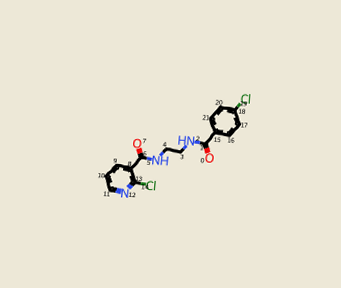 O=C(NCCNC(=O)c1cccnc1Cl)c1ccc(Cl)cc1